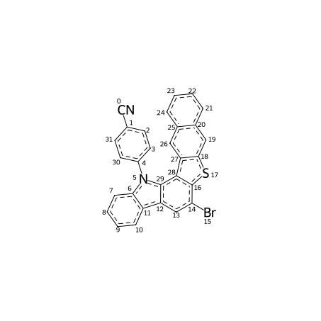 N#Cc1ccc(-n2c3ccccc3c3cc(Br)c4sc5cc6ccccc6cc5c4c32)cc1